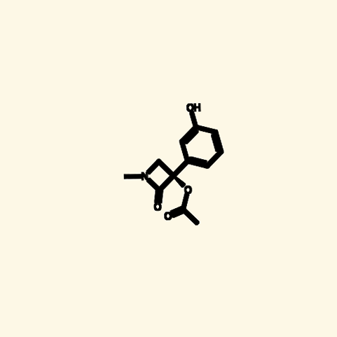 CC(=O)O[C@]1(c2cccc(O)c2)CN(C)C1=O